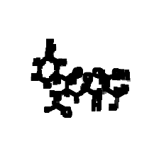 CC(=O)SC(CC(=O)N[C@H](C(=O)O)C(C)C)C(=O)c1cccc(F)c1